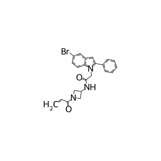 C=CC(=O)N1CC(NC(=O)Cn2c(-c3ccccc3)cc3cc(Br)ccc32)C1